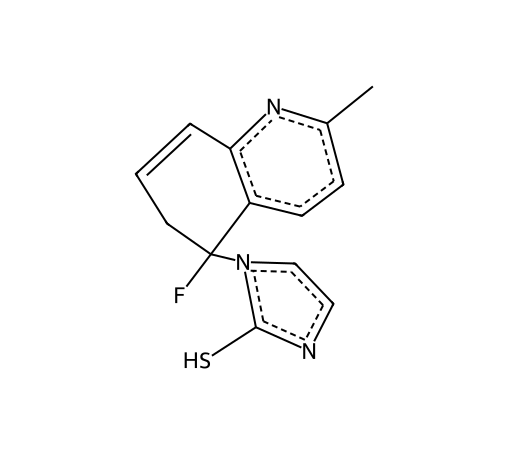 Cc1ccc2c(n1)C=CCC2(F)n1ccnc1S